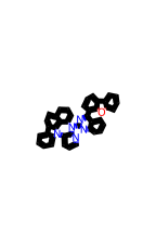 c1ccc2c(-c3cccc4c3oc3ccccc34)nc(-n3c4cccc5ccc6c7ccccc7n(c7cccnc73)c6c54)nc2c1